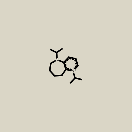 CC(C)N1CCCCc2c1ccc[n+]2C(C)C